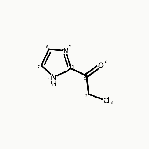 O=C(CCl)c1ncc[nH]1